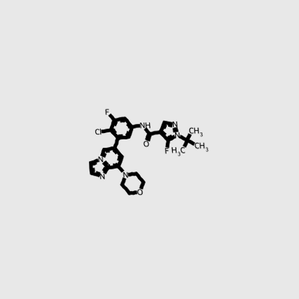 CC(C)(C)n1ncc(C(=O)Nc2cc(F)c(Cl)c(-c3cc(N4CCOCC4)c4nccn4c3)c2)c1F